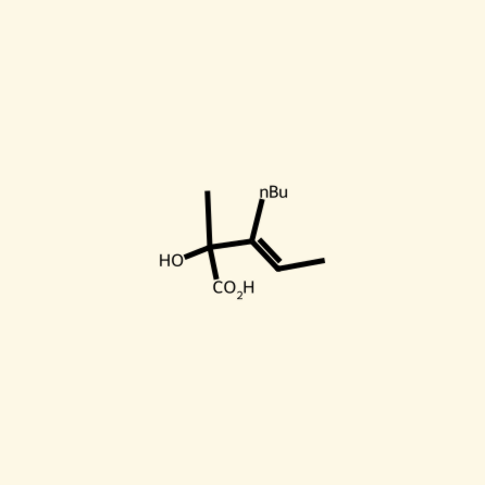 C/C=C(\CCCC)C(C)(O)C(=O)O